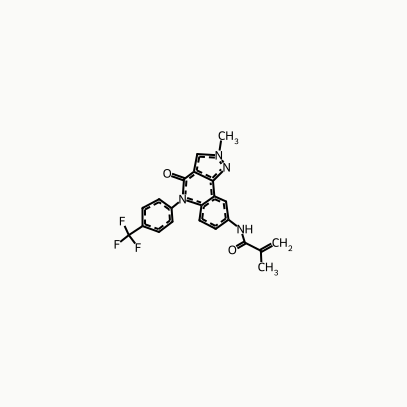 C=C(C)C(=O)Nc1ccc2c(c1)c1nn(C)cc1c(=O)n2-c1ccc(C(F)(F)F)cc1